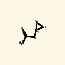 NC(=O)Cn1ss1